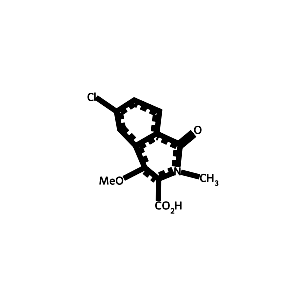 COc1c(C(=O)O)n(C)c(=O)c2ccc(Cl)cc12